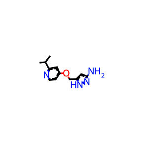 CC(C)c1cc(OCc2cc(N)n[nH]2)ccn1